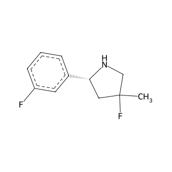 CC1(F)CN[C@@H](c2cccc(F)c2)C1